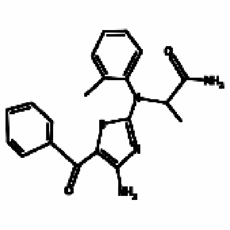 Cc1ccccc1N(c1nc(N)c(C(=O)c2ccccc2)s1)C(C)C(N)=O